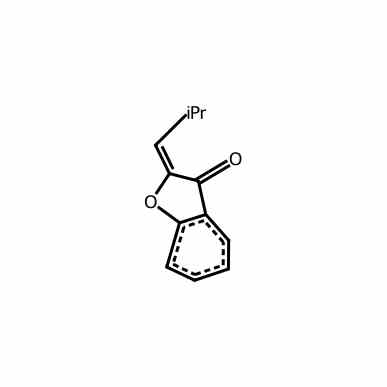 CC(C)C=C1Oc2ccccc2C1=O